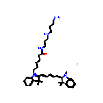 CN1/C(=C/C=C/C=C/C2=[N+](CCCCCC(=O)NCCCNCCCCN)c3ccccc3C2(C)C)C(C)(C)c2ccccc21.[I-]